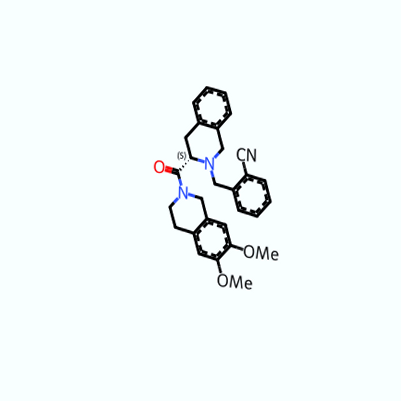 COc1cc2c(cc1OC)CN(C(=O)[C@@H]1Cc3ccccc3CN1Cc1ccccc1C#N)CC2